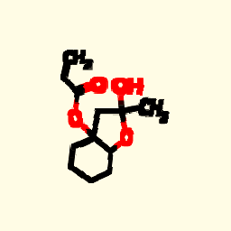 C=CC(=O)OC12CCCCC1OC(C)(O)C2